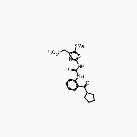 CSc1sc(NC(=O)Nc2ccccc2C(=O)C2CCCC2)nc1CC(=O)O